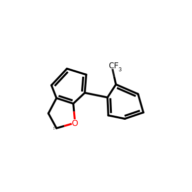 FC(F)(F)c1ccccc1-c1cccc2c1O[C]C2